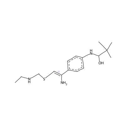 CCNCS/C=C(\N)c1ccc(NC(O)C(C)(C)C)cc1